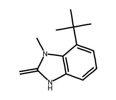 C=C1Nc2cccc(C(C)(C)C)c2N1C